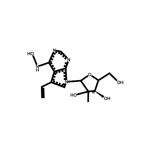 C=Cc1cn(C2OC(CO)[C@@H](O)C2(C)O)c2ncnc(NO)c12